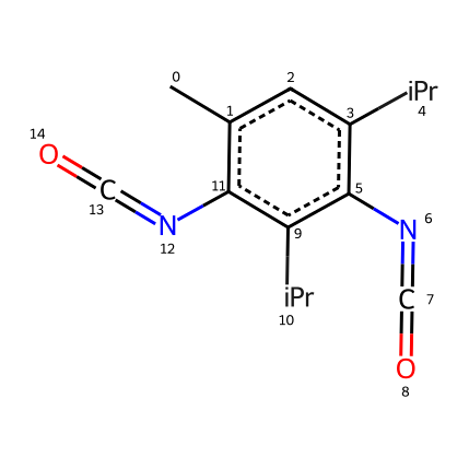 Cc1cc(C(C)C)c(N=C=O)c(C(C)C)c1N=C=O